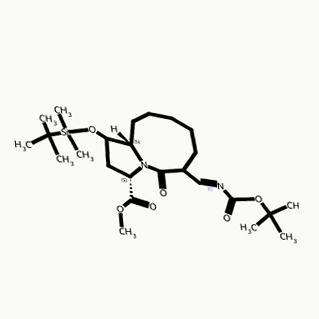 COC(=O)[C@@H]1CC(O[Si](C)(C)C(C)(C)C)[C@@H]2CCCCCC(/C=N/C(=O)OC(C)(C)C)C(=O)N12